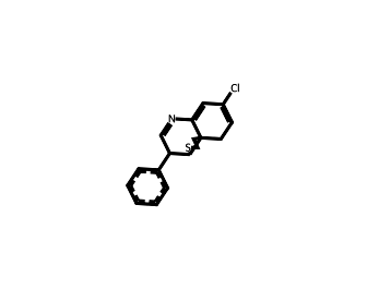 ClC1=CCC23CCSC2C(c2ccccc2)C=NC3=C1